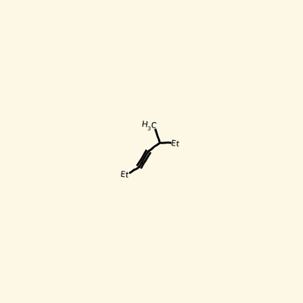 [CH2]CC#CC(C)C[CH2]